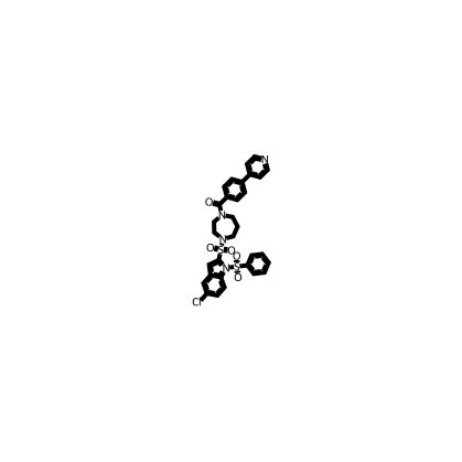 O=C(c1ccc(-c2ccncc2)cc1)N1CCCN(S(=O)(=O)c2cc3cc(Cl)ccc3n2S(=O)(=O)c2ccccc2)CC1